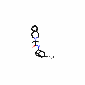 CC(C)(C(=O)NC1C2CC3CC1CC(C(=O)O)(C3)C2)N1CCc2ccccc2CC1